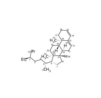 CC[C@H](CC[C@@H](C)[C@H]1CC[C@H]2[C@@H]3CC=C4C=CCC[C@]4(C)[C@H]3CC[C@]12C)C(C)C